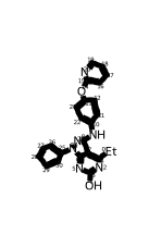 CCc1nc(O)nc2c1c(Nc1ccc(Oc3ccccn3)cc1)nn2-c1ccccc1